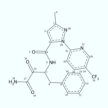 Cc1cc(C(=O)NC(Cc2ccccc2)C(=O)C(N)=O)n(-c2ccc(C(F)(F)F)cn2)n1